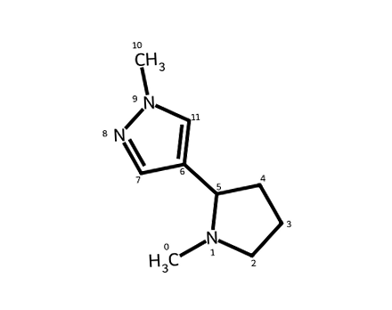 CN1CCCC1c1cnn(C)c1